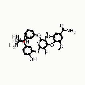 COc1cc(C(N)=O)cc(OC)c1Oc1c(F)c(Oc2cccc(NC(=N)N)c2)nc(Oc2cc(C(=N)N)ccc2O)c1F